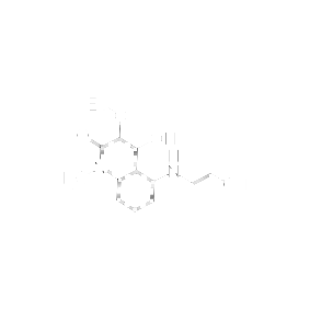 CC=CNc1cccc2c1c(O)c(OCC)c(=O)n2C